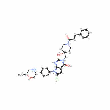 C[C@H]1CN[C@H](c2ccc(-n3c(Cl)cc4c(=O)n(CC5(O)CCN(C(=O)/C=C/c6ccccc6)CC5)cnc43)cc2)CO1